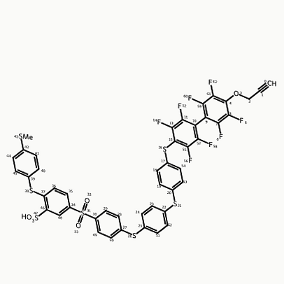 C#CCOc1c(F)c(F)c(-c2c(F)c(F)c(Sc3ccc(Sc4ccc(Sc5ccc(S(=O)(=O)c6ccc(Sc7ccc(SC)cc7)c(S(=O)(=O)O)c6)cc5)cc4)cc3)c(F)c2F)c(F)c1F